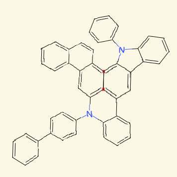 c1ccc(-c2ccc(N(c3ccc4ccc5ccccc5c4c3)c3ccccc3-c3ccc4c(c3)c3ccccc3n4-c3ccccc3)cc2)cc1